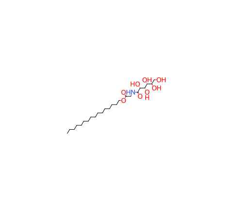 CCCCCCCCCCCCCCCCOC(=O)CNC(=O)[C@H](O)[C@@H](O)[C@H](O)[C@H](O)CO